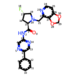 O=C(Nc1cnc(-c2ccccc2)cn1)[C@H]1C[C@H](F)CN1Cc1nccc2c1OCO2